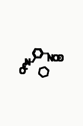 C1CCCCC1.O=C=NCc1cccc(CN=C=O)c1